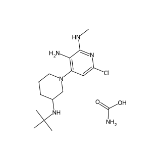 CNc1nc(Cl)cc(N2CCCC(NC(C)(C)C)C2)c1N.NC(=O)O